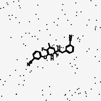 CC1=CC(F)(NCc2cccc(C#N)c2)NC(Oc2cccc(C#N)c2)=C1F